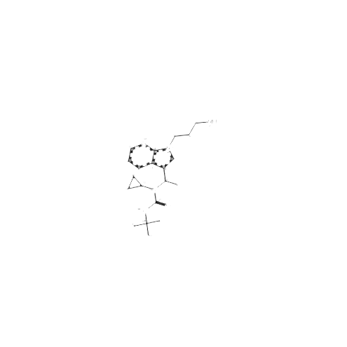 CC(c1cn(CCCN)c2ncccc12)N(C(=O)OC(C)(C)C)C1CC1